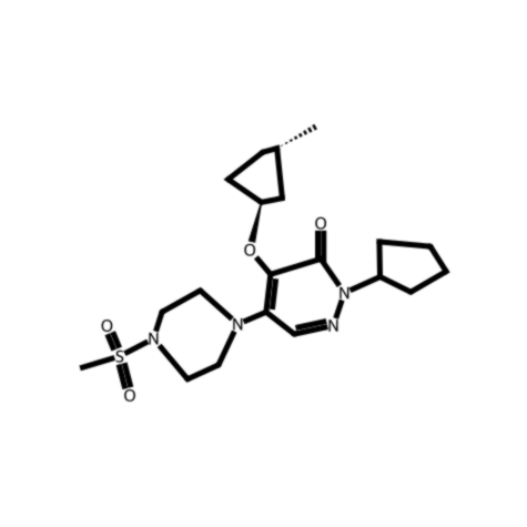 C[C@H]1CC[C@H](Oc2c(N3CCN(S(C)(=O)=O)CC3)cnn(C3CCCC3)c2=O)C1